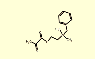 CC(=O)C(=O)OCC[N+](C)(C)Cc1ccccc1